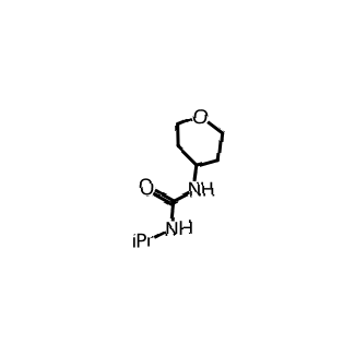 CC(C)NC(=O)NC1CCOCC1